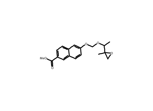 COC(=O)c1ccc2cc(OCOC(C)C3(C)CO3)ccc2c1